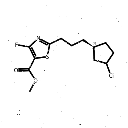 COC(=O)c1sc(CCC[C@H]2CCC(Cl)C2)nc1F